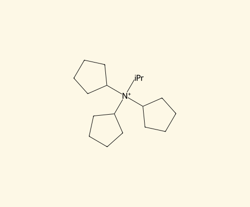 CC(C)[N+](C1CCCC1)(C1CCCC1)C1CCCC1